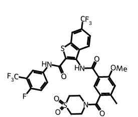 COc1cc(C)c(C(=O)N2CCS(=O)(=O)CC2)cc1C(=O)Nc1c(C(=O)Nc2ccc(F)c(C(F)(F)F)c2)sc2cc(C(F)(F)F)ccc12